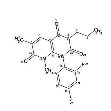 CCCn1c(=O)c2cc(C)c(=O)n(C)c2n(-c2ccc(I)cc2F)c1=O